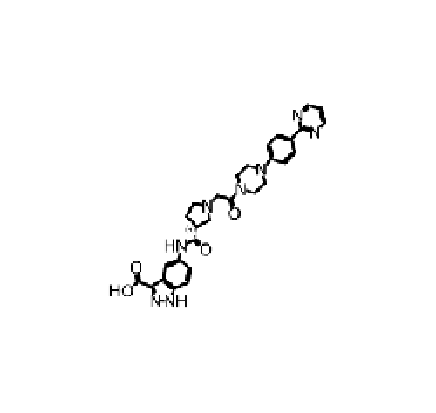 O=C(O)c1n[nH]c2ccc(NC(=O)[C@@H]3CCN(CC(=O)N4CCN(c5ccc(-c6ncccn6)cc5)CC4)C3)cc12